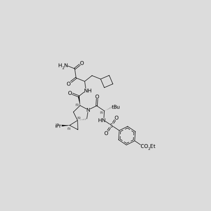 CCOC(=O)c1ccc(S(=O)(=O)N[C@H](C(=O)N2C[C@]3(C[C@H]2C(=O)NC(CC2CCC2)C(=O)C(N)=O)C[C@H]3C(C)C)C(C)(C)C)cc1